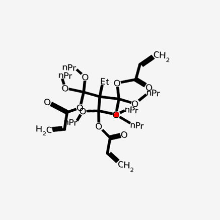 C=CC(=O)OC(OCCC)(OCCC)C(CC)(C(OCCC)(OCCC)OC(=O)C=C)C(OCCC)(OCCC)OC(=O)C=C